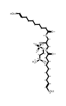 CCCCCCCCC=CCCCCCCCC(=O)OCC(COC(=O)CCCCCCCC=CCCCCCCCC)NS(=O)(=O)OCCN(C)C